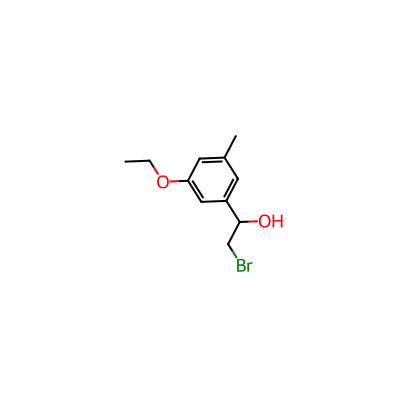 CCOc1cc(C)cc(C(O)CBr)c1